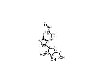 Cc1nnn(C2CC(CO)[C@@H](O)[C@H]2O)c1/N=C\NC=O